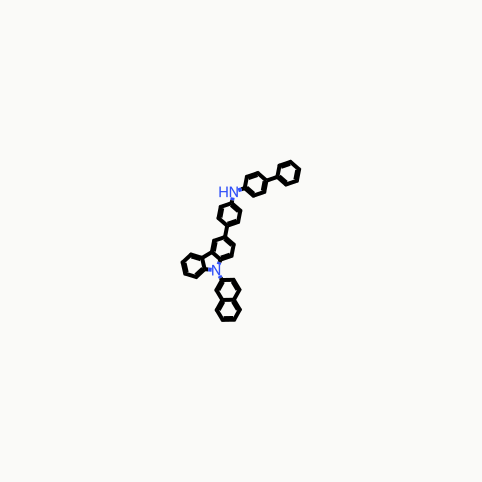 c1ccc(-c2ccc(Nc3ccc(-c4ccc5c(c4)c4ccccc4n5-c4ccc5ccccc5c4)cc3)cc2)cc1